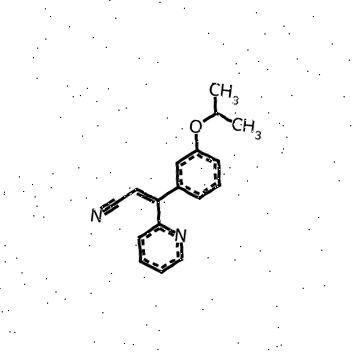 CC(C)Oc1cccc(C(=CC#N)c2ccccn2)c1